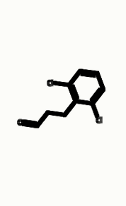 O=CCCc1c(Cl)cccc1Cl